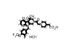 CC1(C)CN(C(=O)CN2CCC(CC(=O)O)CC2)Cc2c1c1cccnc1n2Cc1ccc(OC(F)(F)F)c(F)c1.Cl